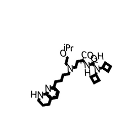 CC(C)OCCN(CCCCc1ccc2c(n1)NCCC2)CC[C@@H](NC(=O)N(C1CCC1)C1CCC1)C(=O)O